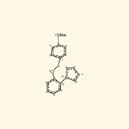 COc1ccc(COc2ccccc2-n2ccnc2)cc1